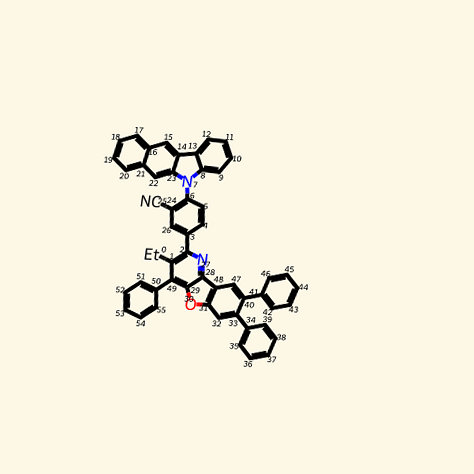 CCc1c(-c2ccc(-n3c4ccccc4c4cc5ccccc5cc43)c(C#N)c2)nc2c(oc3cc(-c4ccccc4)c(-c4ccccc4)cc32)c1-c1ccccc1